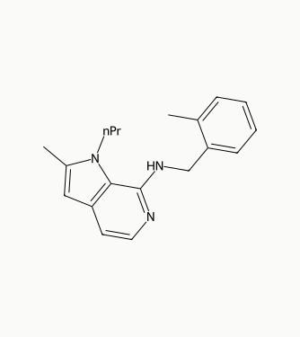 CCCn1c(C)cc2ccnc(NCc3ccccc3C)c21